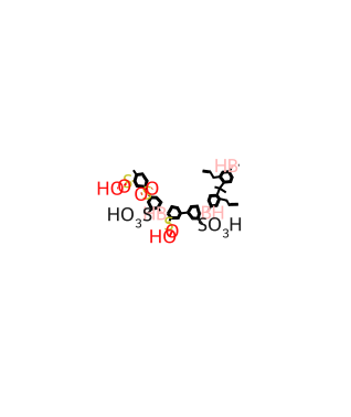 C=CCc1cc(BC)ccc1C(C)(C)c1ccc(Bc2ccc(-c3ccc(Bc4ccc(S(=O)(=O)c5ccc(C)c(SOO)c5)cc4S(=O)(=O)O)c(SOO)c3)cc2S(=O)(=O)O)cc1CC=C